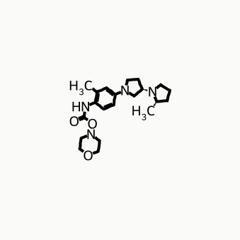 Cc1cc(N2CC[C@H](N3CCC[C@@H]3C)C2)ccc1NC(=O)ON1CCOCC1